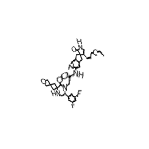 CC=C=C/C=C\C1=CNC(=O)C12Cc1cnc(NC(=O)CN3C(=O)C4(CC5(COC5)C4)NCC3c3cc(F)cc(F)c3)cc1C2